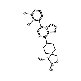 C[C@@H]1OCC2(CCN(c3ncc(-c4cccc(Cl)c4Cl)n4cncc34)CC2)[C@@H]1N